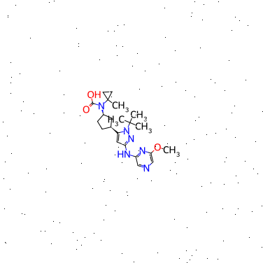 COc1cncc(Nc2cc([C@H]3CC[C@@H](N(C(=O)O)C4(C)CC4)C3)n(C(C)(C)C)n2)n1